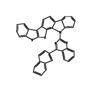 c1ccc2cc(-c3nc(-n4c5ccccc5c5ccc6c(sc7sc8ccccc8c76)c54)nc4ccccc34)ccc2c1